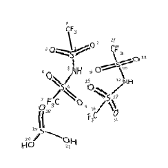 O=S(=O)(NS(=O)(=O)C(F)(F)F)C(F)(F)F.O=S(=O)(NS(=O)(=O)C(F)(F)F)C(F)(F)F.O=S(O)O